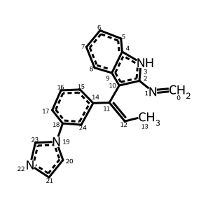 C=Nc1[nH]c2ccccc2c1/C(=C\C)c1cccc(-n2ccnc2)c1